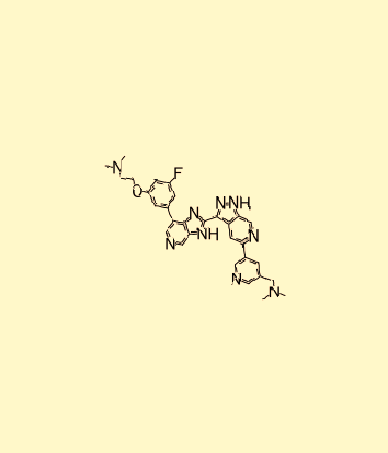 CN(C)CCOc1cc(F)cc(-c2cncc3[nH]c(-c4n[nH]c5cnc(-c6cncc(CN(C)C)c6)cc45)nc23)c1